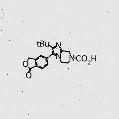 CC(C)(C)c1nc2n(c1-c1ccc3c(c1)COC3=O)CCN(C(=O)O)C2